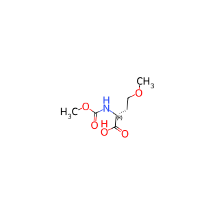 COCC[C@@H](NC(=O)OC)C(=O)O